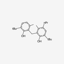 CCCc1cc(C(C)(C)C)c(O)c(Cc2c(C)ccc(C(C)(C)C)c2O)c1C